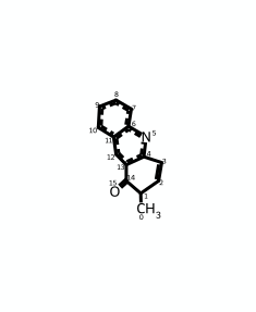 CC1C=Cc2nc3ccccc3cc2C1=O